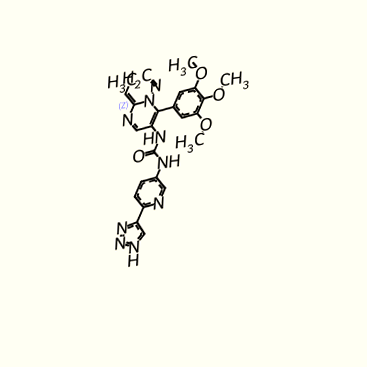 C=NN1C(c2cc(OC)c(OC)c(OC)c2)=C(NC(=O)Nc2ccc(-c3c[nH]nn3)nc2)C=N/C1=C/C